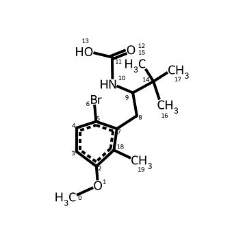 COc1ccc(Br)c(CC(NC(=O)O)C(C)(C)C)c1C